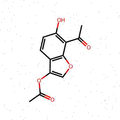 CC(=O)Oc1coc2c(C(C)=O)c(O)ccc12